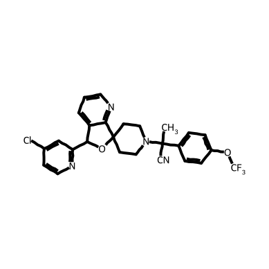 CC(C#N)(c1ccc(OC(F)(F)F)cc1)N1CCC2(CC1)OC(c1cc(Cl)ccn1)c1cccnc12